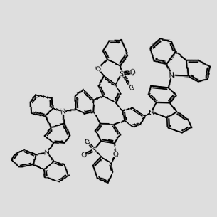 O=S1(=O)c2ccccc2Oc2cc3c(cc21)-c1cc(-n2c4ccccc4c4cc(-n5c6ccccc6c6ccccc65)ccc42)ccc1-c1cc2c(cc1-c1cc(-n4c5ccccc5c5cc(-n6c7ccccc7c7ccccc76)ccc54)ccc1-3)S(=O)(=O)c1ccccc1O2